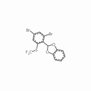 FC(F)(F)Sc1cc(Br)cc(Br)c1C1Oc2c[c]ccc2O1